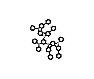 c1ccc(B(c2ccccc2)c2cc(-n3c4ccc(-c5ccccc5)cc4c4c5c6cc(-c7ccccc7)ccc6n(-c6ccccc6)c5ccc43)cc(-n3c4ccc(-c5ccccc5)cc4c4c5c6cc(-c7ccccc7)ccc6n(-c6ccccc6)c5ccc43)c2)cc1